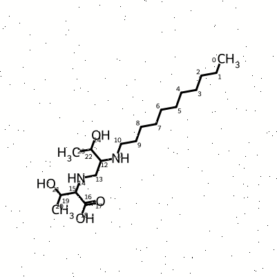 CCCCCCCCCCCNC(CNC(C(=O)O)C(C)O)C(C)O